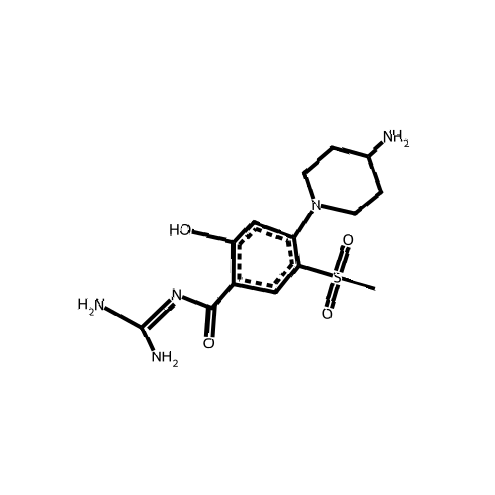 CS(=O)(=O)c1cc(C(=O)N=C(N)N)c(O)cc1N1CCC(N)CC1